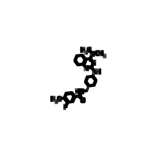 Cc1ccc(C(=O)NC[C@H]2CC[C@@H](Nc3nc4c(c(N(C)C)n3)CCCC4)CC2)cc1F